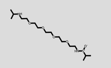 CC(C)NCCOCCOCCOCCOCCN[S+]([O-])C(C)C